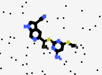 CSc1cc(N)nc(SC(C)c2cc3c(C#N)c[nH]c3cn2)n1